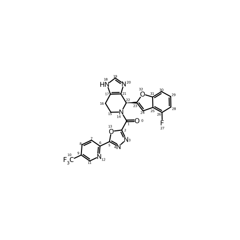 O=C(c1nnc(-c2ccc(C(F)(F)F)cn2)o1)N1CCc2[nH]cnc2[C@H]1c1cc2c(F)cccc2o1